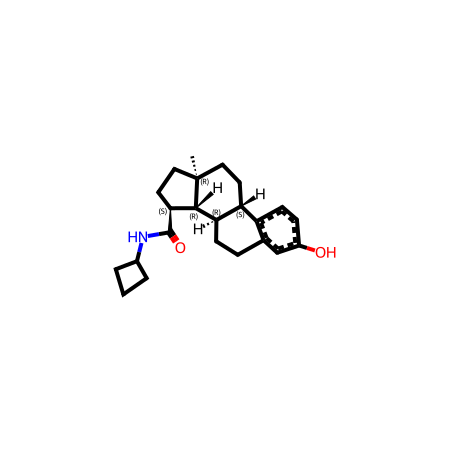 C[C@@]12CC[C@H](C(=O)NC3CCC3)[C@H]1[C@@H]1CCc3cc(O)ccc3[C@H]1CC2